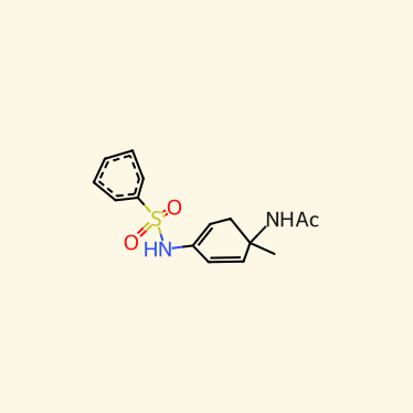 CC(=O)NC1(C)C=CC(NS(=O)(=O)c2ccccc2)=CC1